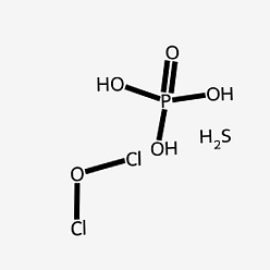 ClOCl.O=P(O)(O)O.S